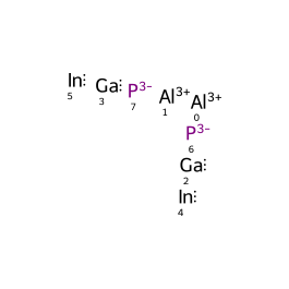 [Al+3].[Al+3].[Ga].[Ga].[In].[In].[P-3].[P-3]